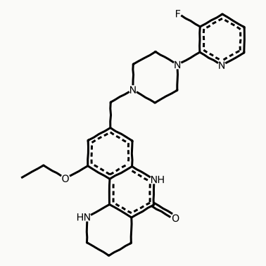 CCOc1cc(CN2CCN(c3ncccc3F)CC2)cc2[nH]c(=O)c3c(c12)NCCC3